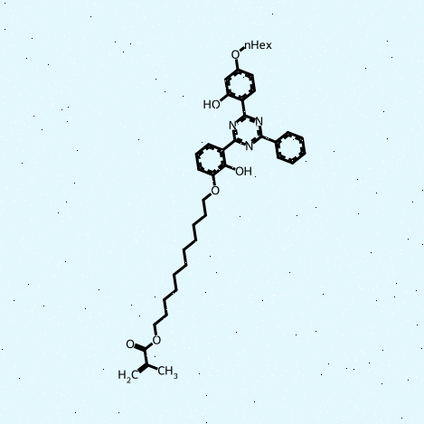 C=C(C)C(=O)OCCCCCCCCCCCOc1cccc(-c2nc(-c3ccccc3)nc(-c3ccc(OCCCCCC)cc3O)n2)c1O